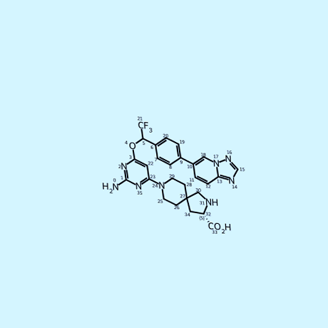 Nc1nc(OC(c2ccc(-c3ccc4ncnn4c3)cc2)C(F)(F)F)cc(N2CCC3(CC2)CN[C@H](C(=O)O)C3)n1